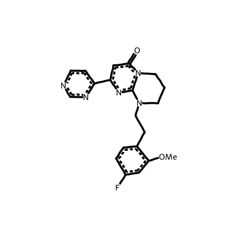 COc1cc(F)ccc1CCN1CCCn2c1nc(-c1ccncn1)cc2=O